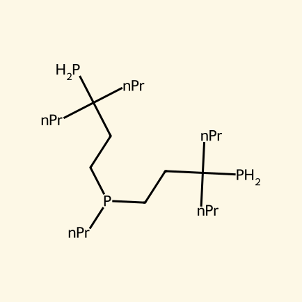 CCCP(CCC(P)(CCC)CCC)CCC(P)(CCC)CCC